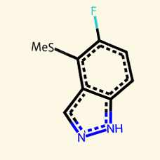 CSc1c(F)ccc2[nH]ncc12